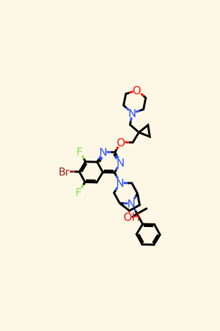 CC(C)(c1ccccc1)N1C2CC(O)C1CN(c1nc(OCC3(CN4CCOCC4)CC3)nc3c(F)c(Br)c(F)cc13)C2